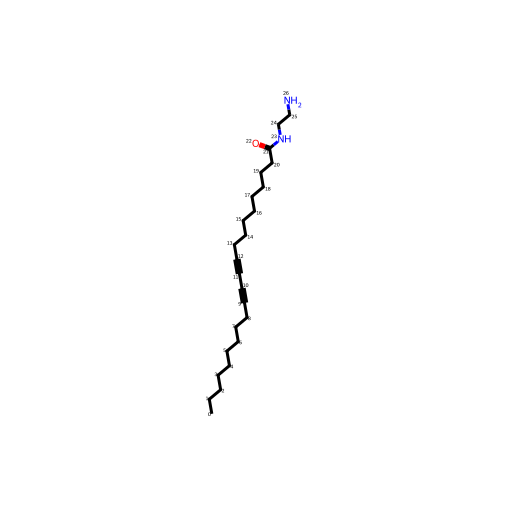 CCCCCCCCCC#CC#CCCCCCCCCC(=O)NCCN